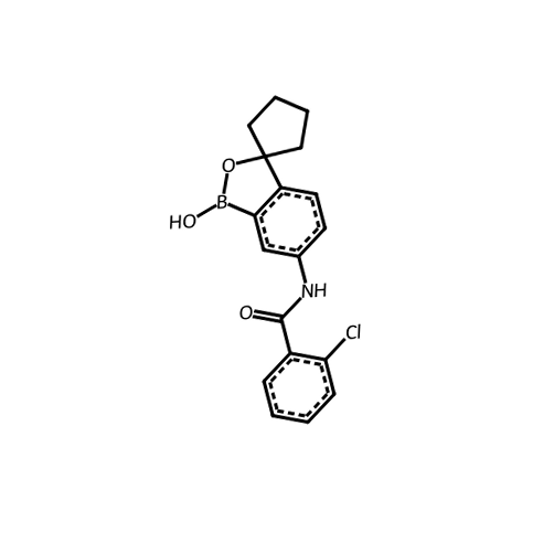 O=C(Nc1ccc2c(c1)B(O)OC21CCCC1)c1ccccc1Cl